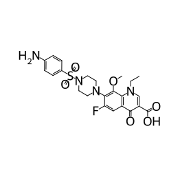 CCn1cc(C(=O)O)c(=O)c2cc(F)c(N3CCN(S(=O)(=O)c4ccc(N)cc4)CC3)c(OC)c21